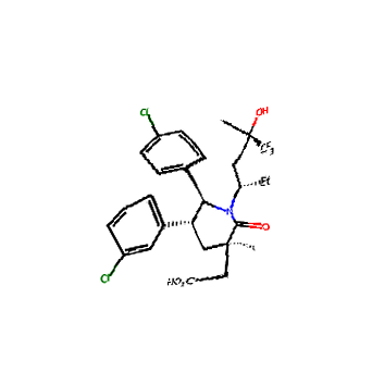 CC[C@@H](C[C@](C)(O)C(F)(F)F)N1C(=O)[C@@](C)(CC(=O)O)C[C@H](c2cccc(Cl)c2)[C@H]1c1ccc(Cl)cc1